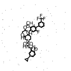 COc1cc(-c2cccc(C(F)(F)F)c2)c(F)cc1N1C(=O)CO[C@H]2CN(S(=O)(=O)Nc3noc4ccc(C5CC5)cc34)CC[C@@H]21